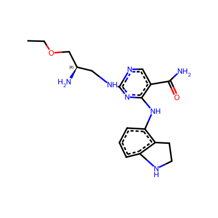 CCOC[C@H](N)CNc1ncc(C(N)=O)c(Nc2cccc3c2CCN3)n1